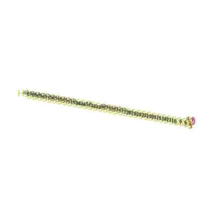 COS(=S)(=S)SSSSSSSSSSSSSSSSSSSSSSSSSSSSSSSSSSSSSSSSSSSSSSSSSSSSSSSSSSSSSSSS